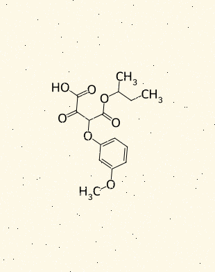 CCC(C)OC(=O)C(Oc1cccc(OC)c1)C(=O)C(=O)O